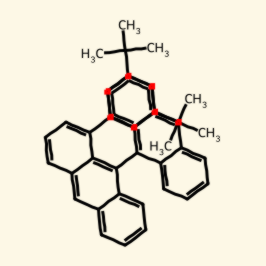 CC(C)(C)c1cc(-c2cccc3cc4ccccc4c(-c4c5ccccc5cc5ccccc45)c23)cc(C(C)(C)C)c1